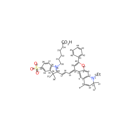 CCN1c2cc3c(cc2C(C)=CC1(C)C)C(=CC=CC1=[N+](CCCCCC(=O)O)c2ccc(S(=O)(=O)[O-])cc2C1(C)C)C=C(c1ccccc1)O3